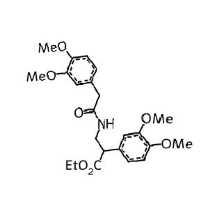 CCOC(=O)C(CNC(=O)Cc1ccc(OC)c(OC)c1)c1ccc(OC)c(OC)c1